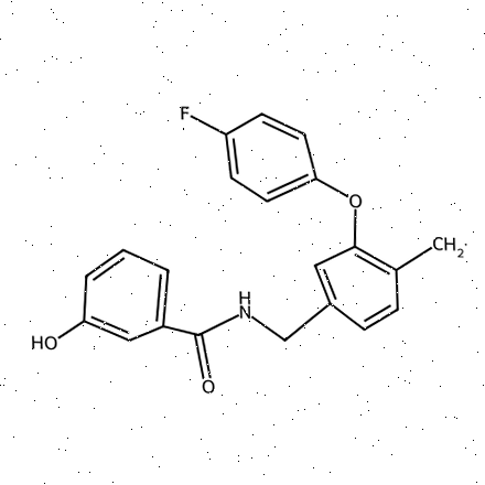 [CH2]c1ccc(CNC(=O)c2cccc(O)c2)cc1Oc1ccc(F)cc1